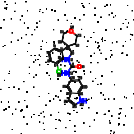 O=C(NCC1(c2cccc(Cl)c2)CCOCC1)Nc1ccc2[nH]ccc2c1